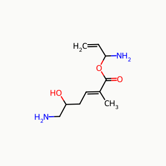 C=CC(N)OC(=O)C(C)=CCC(O)CN